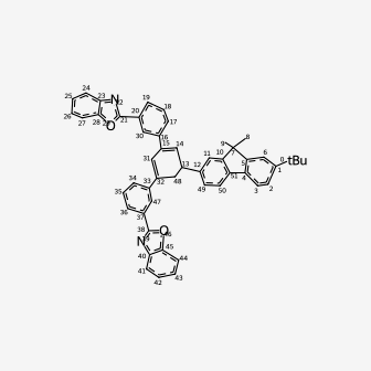 CC(C)(C)c1ccc2c(c1)C(C)(C)c1cc(C3C=C(c4cccc(-c5nc6ccccc6o5)c4)C=C(c4cccc(-c5nc6ccccc6o5)c4)C3)ccc1-2